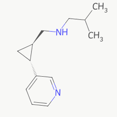 CC(C)CNC[C@@H]1C[C@H]1c1cccnc1